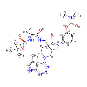 Cc1c[nH]c2ncnc(N3CCC(CNC(=O)C4(NC(=O)OC(C)(C)C)CC4)(C(=O)Nc4cccc(OC(=O)N(C)C)c4)CC3)c12